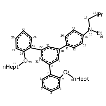 CCCCCCCOc1ccccc1-c1cc(-c2ccc(N(CC)CC(C)C)cc2)cc(-c2ccccc2OCCCCCCC)n1